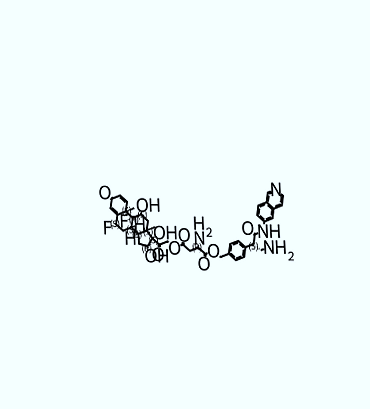 C[C@]12C=CC(=O)C=C1[C@@H](F)C[C@H]1[C@@H]3C[C@@H](O)[C@](O)(C(=O)COC(=O)C[C@@H](N)C(=O)OCc4ccc([C@@H](CN)C(=O)Nc5ccc6cnccc6c5)cc4)[C@@]3(C)C[C@H](O)[C@@]12F